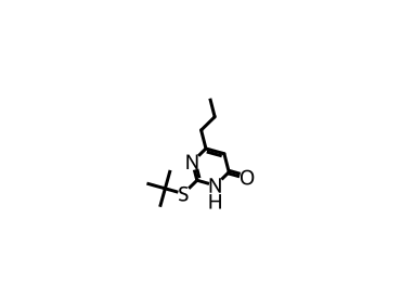 CCCc1cc(=O)[nH]c(SC(C)(C)C)n1